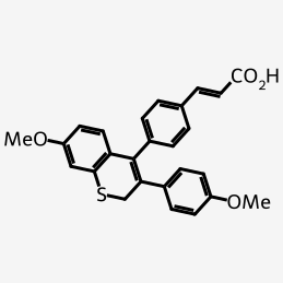 COc1ccc(C2=C(c3ccc(C=CC(=O)O)cc3)c3ccc(OC)cc3SC2)cc1